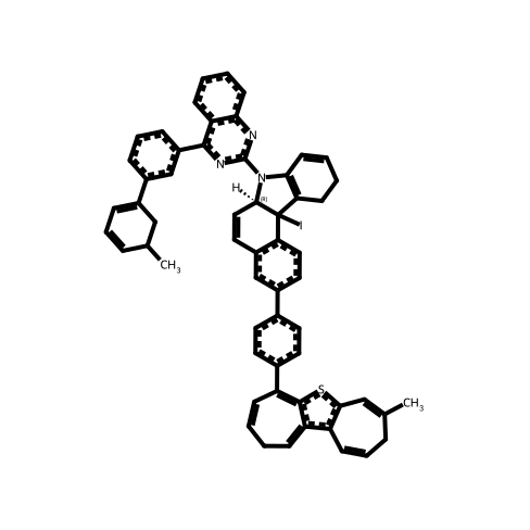 CC1=Cc2sc3c(c2C=CC1)=CCC=CC=3c1ccc(-c2ccc3c(c2)C=C[C@H]2N(c4nc(-c5cccc(C6=CC=CC(C)C6)c5)c5ccccc5n4)C4=C(CCC=C4)C32I)cc1